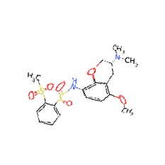 COc1ccc(NS(=O)(=O)c2ccccc2S(C)(=O)=O)c2c1C[C@@H](N(C)C)CO2